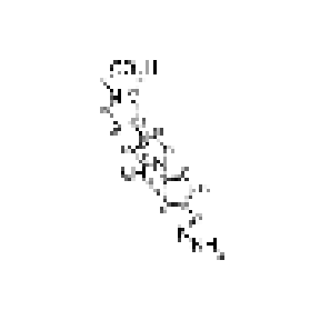 C.NN=Cc1ccc(N2CCN(C3CCN(CC(=O)O)CC3)CC2)cc1